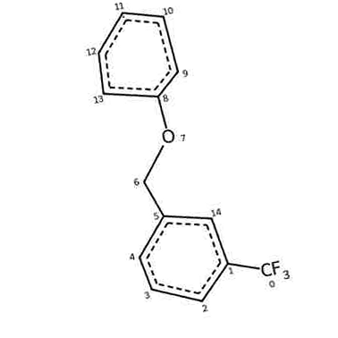 FC(F)(F)c1cccc(COc2cc[c]cc2)c1